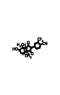 C[C@]12O[C@](C)(C[C@@H]1O)[C@H]1C(=O)N(c3ccc(C#N)c(C(F)(F)F)c3)C(=O)[C@@H]12